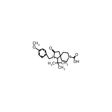 COc1ccc(CN2C(=O)CC3(CCN(C(=O)O)CC3)C2C(C)(C)C)cc1